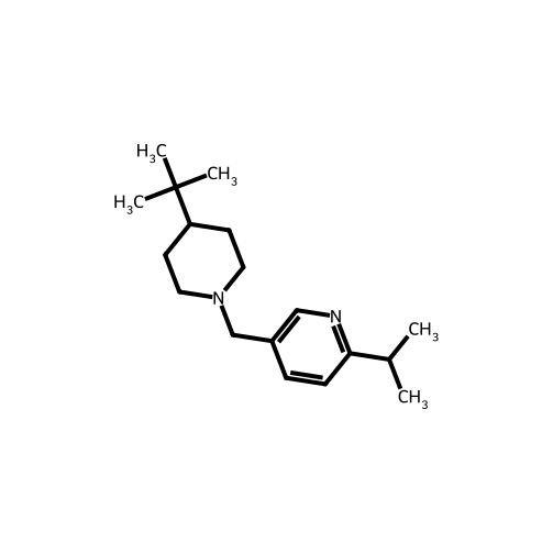 CC(C)c1ccc(CN2CCC(C(C)(C)C)CC2)cn1